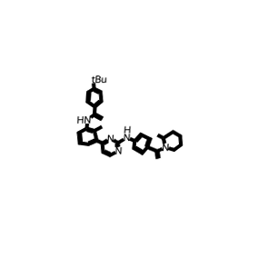 C=C(Nc1cccc(-c2ccnc(Nc3ccc(C(=C)N4CCCCC4C)cc3)n2)c1C)c1ccc(C(C)(C)C)cc1